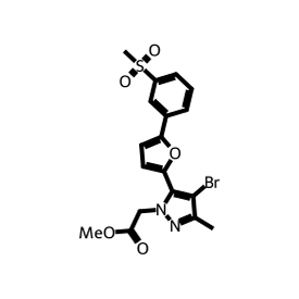 COC(=O)Cn1nc(C)c(Br)c1-c1ccc(-c2cccc(S(C)(=O)=O)c2)o1